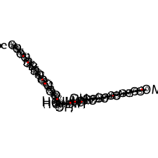 COCCOCCOCCOCCOCCOCCOCCOCCOCCOCCOCCOCC[C@@H](O)NCCCCC(N[C@@H](O)CCOCCOCCOCCOCCOCCOCCOCCOCCOCCOCCOCCOC)C(O)O